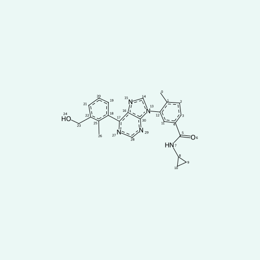 Cc1ccc(C(=O)NC2CC2)cc1-n1cnc2c(-c3cccc(CO)c3C)ncnc21